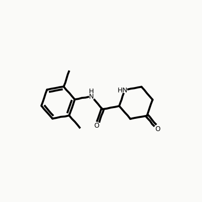 Cc1cccc(C)c1NC(=O)C1CC(=O)CCN1